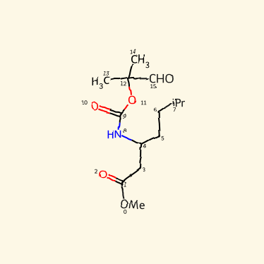 COC(=O)CC(CCC(C)C)NC(=O)OC(C)(C)C=O